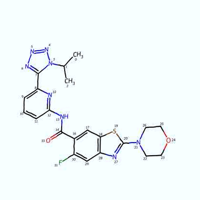 CC(C)n1nnnc1-c1cccc(NC(=O)c2cc3sc(N4CCOCC4)nc3cc2F)n1